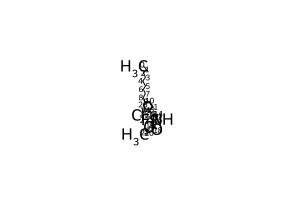 CCCCCCCCCc1ccc(-c2c[nH]c(C(=O)OCC)c2F)c(Cl)c1